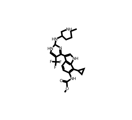 COC(=O)Nc1ccc2c(C3=NC(NC4CCC(C)NC4)NC=C3C(F)(F)F)c[nH]c2c1C1CC1